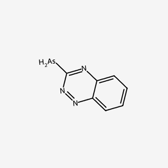 [AsH2]c1nnc2ccccc2n1